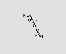 CCNCCOCCOCCNC(=O)CN(C)CC(C)C